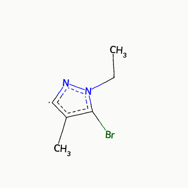 CCn1n[c]c(C)c1Br